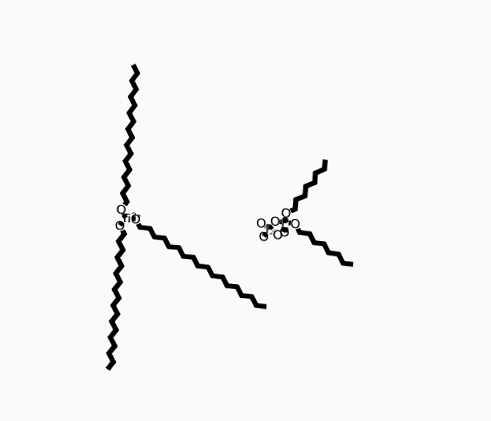 CCCCCCCCCCCCCCCCCC[O][Ti+2]([O]CCCCCCCCCCCCCCCCCC)[O]CCCCCCCCCCCCCCCCCC.CCCCCCCCOP(=O)(OCCCCCCCC)OP(=O)([O-])[O-]